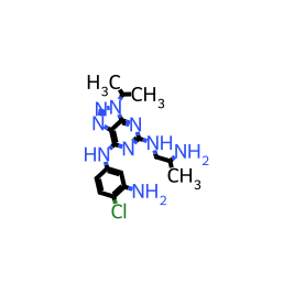 CC(N)CNc1nc(Nc2ccc(Cl)c(N)c2)c2nnn(C(C)C)c2n1